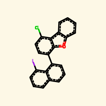 Clc1ccc(-c2cccc3cccc(I)c23)c2oc3ccccc3c12